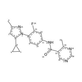 Cc1cc(C2CC2)n(-c2ccc(NC(=O)c3cncnc3C)cc2F)n1